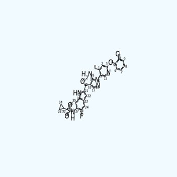 Cc1cc(Oc2ccccc2Cl)ncc1-n1ncc(C(=O)c2cc3cc(F)c(NS(=O)(=O)C4CC4)cc3[nH]2)c1N